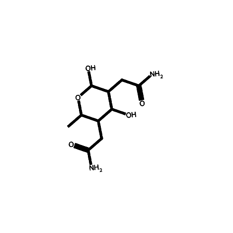 CC1OC(O)C(CC(N)=O)C(O)C1CC(N)=O